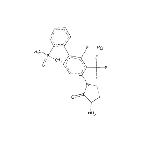 CP(C)(=O)c1ccccc1-c1ccc(N2CCC(N)C2=O)c(C(F)(F)F)c1F.Cl